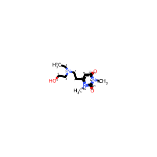 CCN(CCO)CCc1cc(=O)n(C)c(=O)n1C